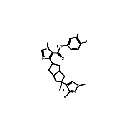 Cn1cc(C2(O)CC3CC(c4ncn(C)c4C(=O)Nc4ccc(F)c(Cl)c4)CC3C2)c(Br)n1